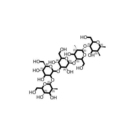 C[C@@H]1OC(CO)[C@@H](O[C@@H]2OC(CO)[C@@H](O[C@@H]3OC(CO)[C@@H](O)C(OC4O[C@H](CO)[C@@H](O)C(O)C4O[C@@H]4OC(CO)[C@@H](O)C(O)[C@@H]4C)[C@H]3O)C(O)[C@@H]2C)C(O)[C@@H]1C